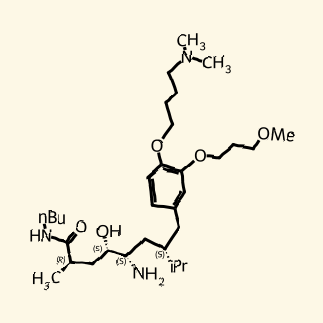 CCCCNC(=O)[C@H](C)C[C@H](O)[C@@H](N)C[C@H](Cc1ccc(OCCCCN(C)C)c(OCCCOC)c1)C(C)C